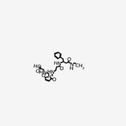 CCNC(=O)CC(Cc1ccccc1)NC(=O)CCNC[N+]1(CNCC(=O)O)C(=O)C=CC1=O